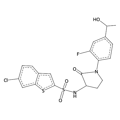 CC(O)c1ccc(N2CCC(NS(=O)(=O)c3cc4ccc(Cl)cc4s3)C2=O)c(F)c1